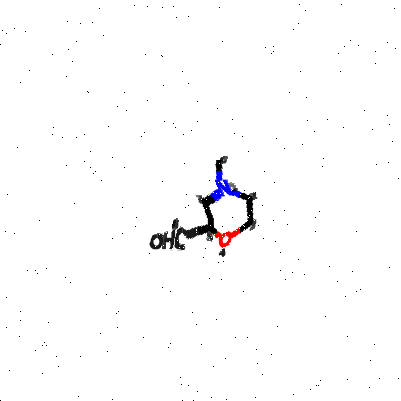 CN1CCOC(C=O)C1